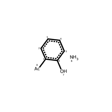 CC(=O)c1ccccc1O.N